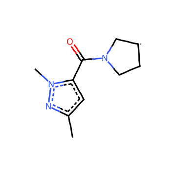 Cc1cc(C(=O)N2C[CH]CC2)n(C)n1